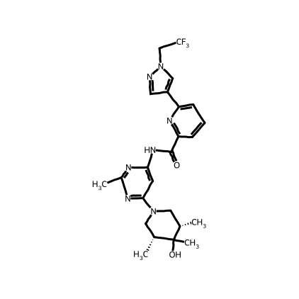 Cc1nc(NC(=O)c2cccc(-c3cnn(CC(F)(F)F)c3)n2)cc(N2C[C@@H](C)C(C)(O)[C@@H](C)C2)n1